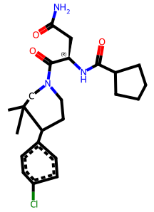 CC1(C)CN(C(=O)[C@@H](CC(N)=O)NC(=O)C2CCCC2)CCC1c1ccc(Cl)cc1